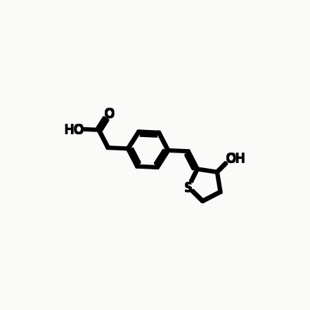 O=C(O)Cc1ccc(/C=C2\SCCC2O)cc1